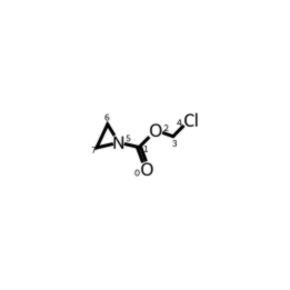 O=C(OCCl)N1CC1